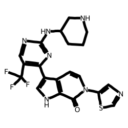 O=c1c2[nH]cc(-c3nc(NC4CCCNC4)ncc3C(F)(F)F)c2ccn1-c1cncs1